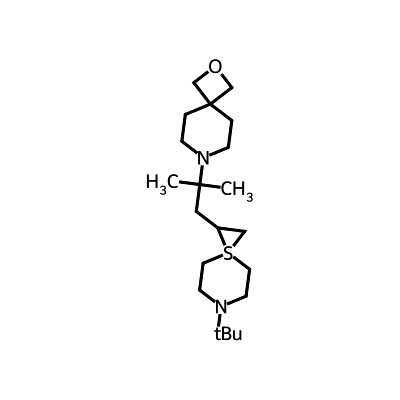 CC(C)(C)N1CCS2(CC1)CC2CC(C)(C)N1CCC2(CC1)COC2